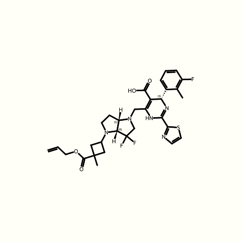 C=CCOC(=O)C1(C)CC(N2CC[C@H]3[C@@H]2C(F)(F)CN3CC2=C(C(=O)O)[C@H](c3cccc(F)c3C)N=C(c3nccs3)N2)C1